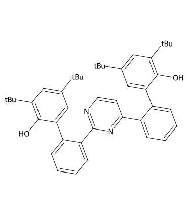 CC(C)(C)c1cc(-c2ccccc2-c2ccnc(-c3ccccc3-c3cc(C(C)(C)C)cc(C(C)(C)C)c3O)n2)c(O)c(C(C)(C)C)c1